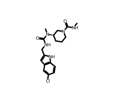 CNC(=O)N1CCC[C@@H](N(C)C(=O)NCc2cc3cc(Cl)ccc3[nH]2)C1